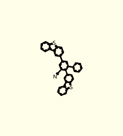 N#Cc1cc(-c2ccc3sc4ccccc4c3c2)cc(-c2ccccc2)c1-c1ccc2sc3ccccc3c2c1